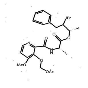 COc1ccnc(C(=O)N[C@@H](C)C(=O)O[C@@H](C)C(Cc2ccccc2)C(C)C)c1OCOC(C)=O